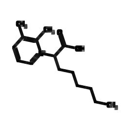 CCCCCCC(C(=O)O)[n+]1cccc(C)c1C